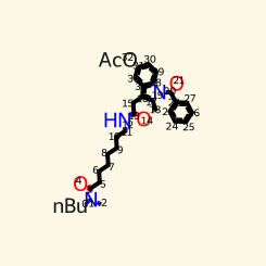 CCCCN(C)C(=O)CCCCCCCNC(=O)Cc1c(C)n(C(=O)c2ccccc2)c2ccc(OC(C)=O)cc12